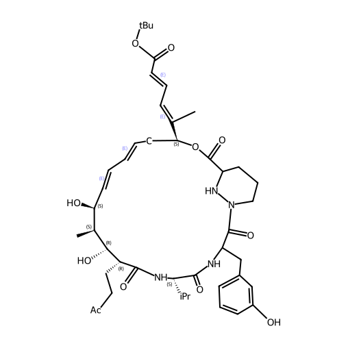 CC(=O)CC[C@H]1C(=O)N[C@@H](C(C)C)C(=O)NC(Cc2cccc(O)c2)C(=O)N2CCCC(N2)C(=O)O[C@H](/C(C)=C/C=C/C(=O)OC(C)(C)C)C/C=C/C=C/[C@H](O)[C@H](C)[C@H]1O